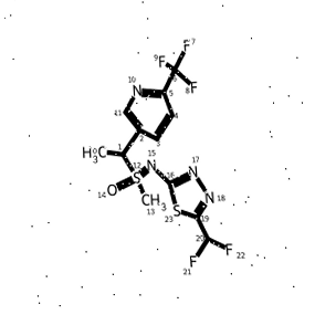 CC(c1ccc(C(F)(F)F)nc1)S(C)(=O)=Nc1nnc(C(F)F)s1